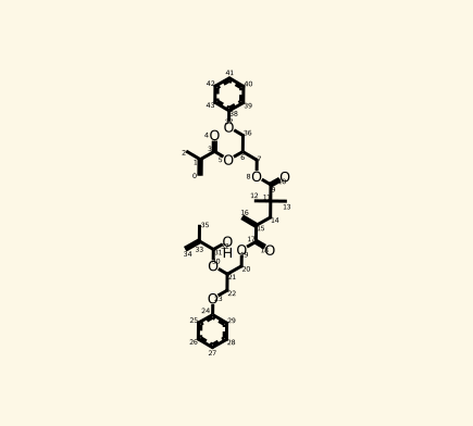 C=C(C)C(=O)OC(COC(=O)C(C)(C)CC(=C)C(=O)OCC(COc1ccccc1)OC(O)C(=C)C)COc1ccccc1